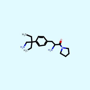 CCC(CC)(CN)c1ccc(CC(N)C(=O)N2CCCC2)cc1